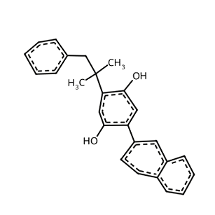 CC(C)(Cc1ccccc1)c1cc(O)c(-c2ccc3ccccc3c2)cc1O